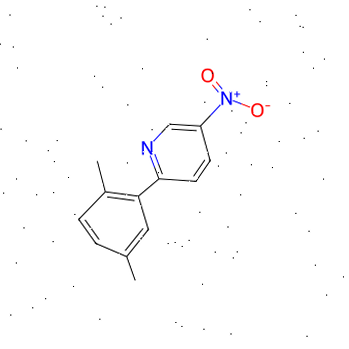 Cc1ccc(C)c(-c2ccc([N+](=O)[O-])cn2)c1